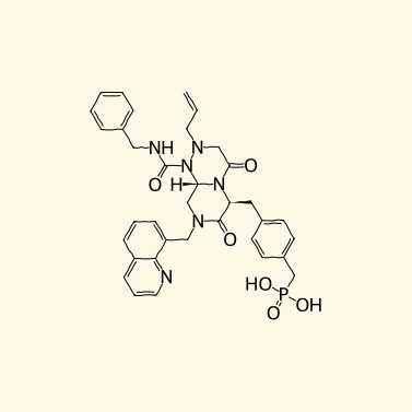 C=CCN1CC(=O)N2[C@@H](Cc3ccc(CP(=O)(O)O)cc3)C(=O)N(Cc3cccc4cccnc34)C[C@@H]2N1C(=O)NCc1ccccc1